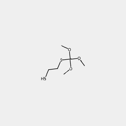 COC(OC)(OC)SCCS